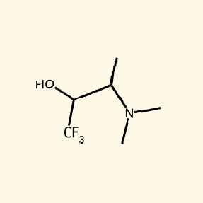 CC(C(O)C(F)(F)F)N(C)C